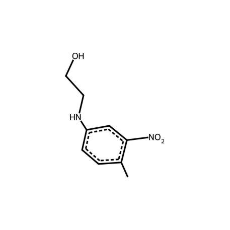 Cc1ccc(NCCO)cc1[N+](=O)[O-]